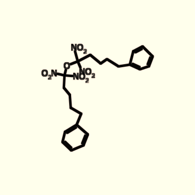 O=[N+]([O-])C(CCCCc1ccccc1)(OC(CCCCc1ccccc1)([N+](=O)[O-])[N+](=O)[O-])[N+](=O)[O-]